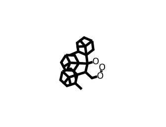 CC1CCC2CC1(C1COOOC1(C13CC(CCC1C)C3(C)C)C13CC(CCC1C)C3(C)C)C2(C)C